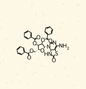 NC1=C2SC(=O)NC2N([C@@H]2O[C@H](COC(=O)c3ccccc3)[C@@H](OC(=O)c3ccccc3)[C@H]2OC(=O)c2ccccc2)C=N1